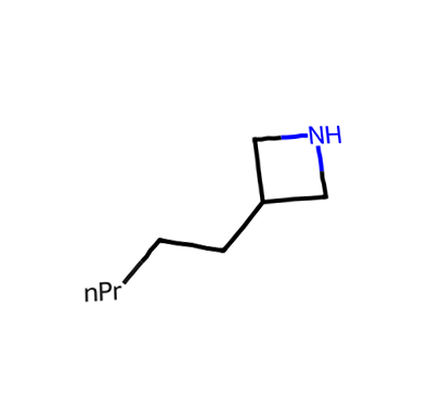 CCCCCC1CNC1